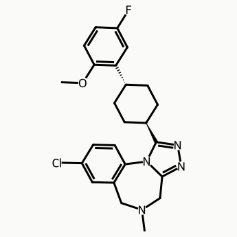 COc1ccc(F)cc1[C@H]1CC[C@H](c2nnc3n2-c2ccc(Cl)cc2CN(C)C3)CC1